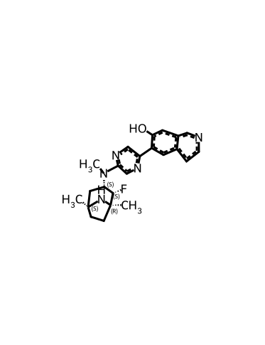 CN(c1cnc(-c2cc3ccncc3cc2O)cn1)[C@H]1C[C@]2(C)CC[C@@](C)(N2)[C@H]1F